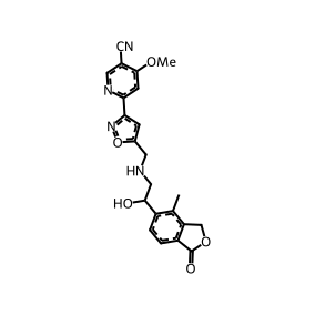 COc1cc(-c2cc(CNCC(O)c3ccc4c(c3C)COC4=O)on2)ncc1C#N